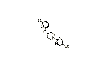 CCc1cnc(N2CCC(Oc3cccc(=O)o3)CC2)nc1